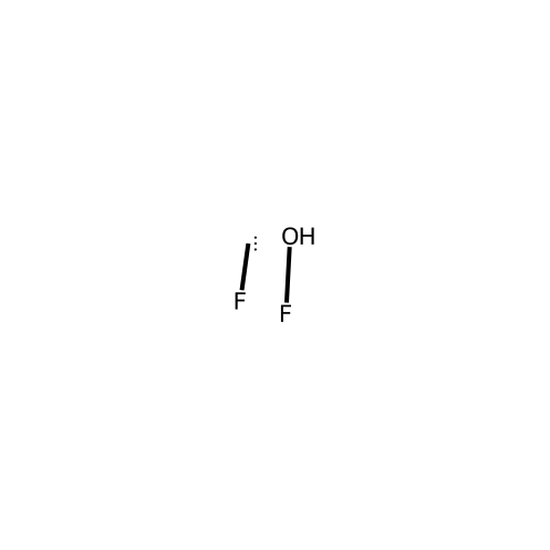 OF.[C]F